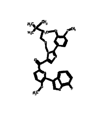 COc1ccc(-c2ncc(C(=O)c3ccc(OC)c(-c4csc5c(F)cccc45)n3)n2COCC[Si](C)(C)C)cc1OC